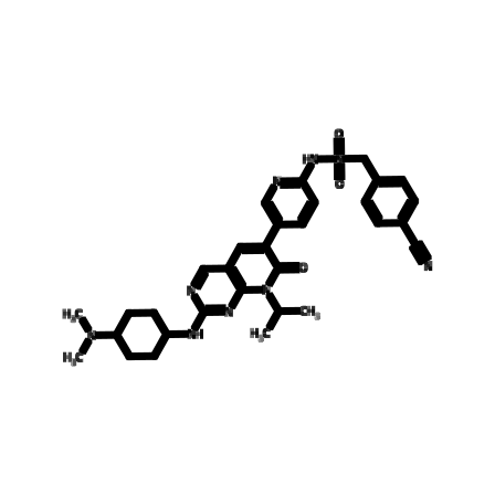 CC(C)n1c(=O)c(-c2ccc(NS(=O)(=O)Cc3ccc(C#N)cc3)nc2)cc2cnc(NC3CCC(N(C)C)CC3)nc21